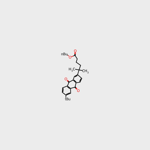 CCCCOC(=O)CCCC(C)(C)c1ccc2c(c1)C(=O)c1ccc(C(C)(C)C)cc1C2=O